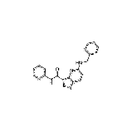 O=C(Nc1ccccn1)c1cnn2ccc(NCc3ccccn3)nc12